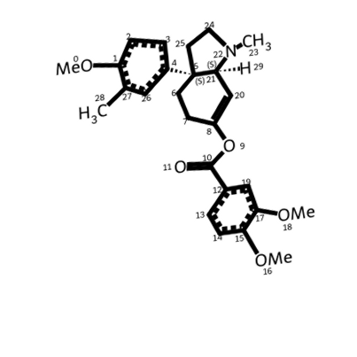 COc1ccc([C@@]23CCC(OC(=O)c4ccc(OC)c(OC)c4)=C[C@@H]2N(C)CC3)cc1C